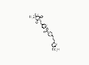 CC1(C)CC(=O)N(CCc2ccc(OC(=O)N3CCN(CCCc4ccc(C(=O)O)cn4)CC3)nc2)C(=O)C1